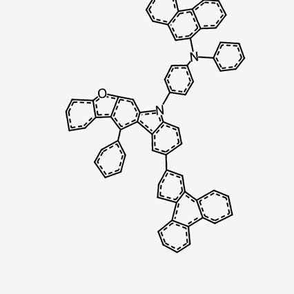 c1ccc(-c2c3c(cc4c2c2cc(-c5ccc6c7ccccc7c7ccccc7c6c5)ccc2n4-c2ccc(N(c4ccccc4)c4cc5ccccc5c5ccccc45)cc2)oc2ccccc23)cc1